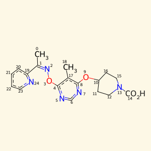 CC(=NOc1ncnc(OC2CCN(C(=O)O)CC2)c1C)c1ccccn1